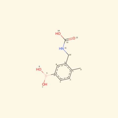 Cc1ccc(B(O)O)cc1CNC(=O)O